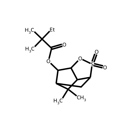 CCC(C)(C)C(=O)OC1C2OS(=O)(=O)C3CC1C(C)(C)C23